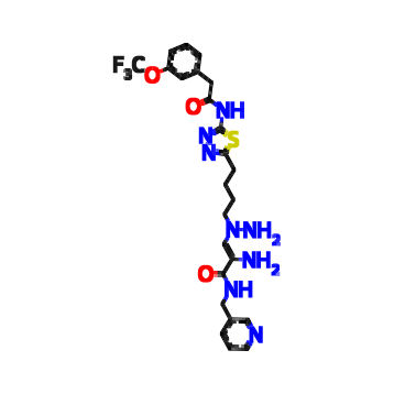 N/C(=C\N(N)CCCCc1nnc(NC(=O)Cc2cccc(OC(F)(F)F)c2)s1)C(=O)NCc1cccnc1